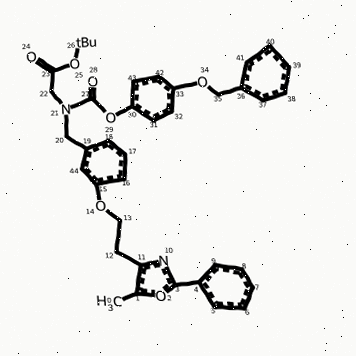 Cc1oc(-c2ccccc2)nc1CCOc1cccc(CN(CC(=O)OC(C)(C)C)C(=O)Oc2ccc(OCc3ccccc3)cc2)c1